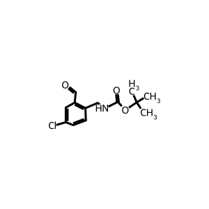 CC(C)(C)OC(=O)NCc1ccc(Cl)cc1C=O